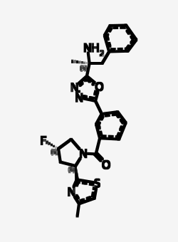 Cc1csc([C@H]2C[C@H](F)CN2C(=O)c2cccc(-c3nnc([C@@](C)(N)Cc4ccccc4)o3)c2)n1